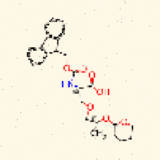 C[C@H](COC[C@H](NC(=O)OCC1c2ccccc2-c2ccccc21)C(=O)O)OC1CCCCO1